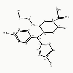 CCOC[C@@H]1CN(C(=O)O)[C@@H](C)CN1C(c1ccc(F)cc1)c1ccc(F)cc1